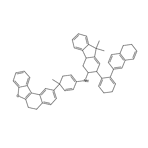 CC1(c2ccc3c(c2)-c2c(oc4ccccc24)CC3)C=CC(NC2CC3C(=CC2C2=CCCC=C2c2ccc4c(c2)C=CCC4)C(C)(C)c2ccccc23)=CC1